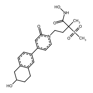 CC(CCn1ccc(-c2ccc3c(c2)CCC(O)C3)cc1=O)(C(=O)NO)S(C)(=O)=O